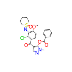 COc1ccc(C(=O)c2cnn(C)c2OC(=O)c2ccccc2)c(Cl)c1N=S1(=O)CCCCC1